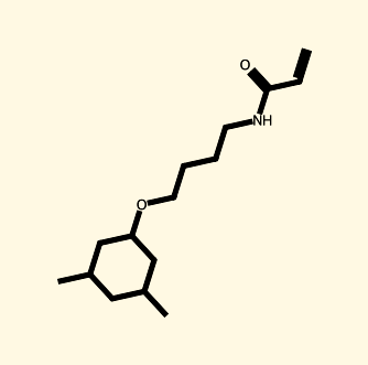 C=CC(=O)NCCCCOC1CC(C)CC(C)C1